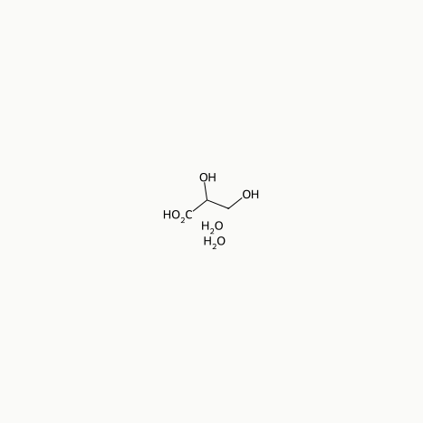 O.O.O=C(O)C(O)CO